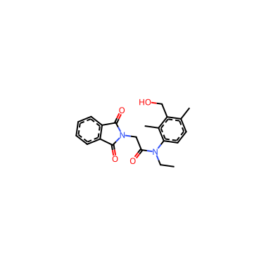 CCN(C(=O)CN1C(=O)c2ccccc2C1=O)c1ccc(C)c(CO)c1C